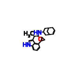 CC(C(=O)NC1CC2C=CCC(C2)C1)c1c[nH]c2cccc(C3CC3)c12